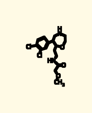 COCC(=O)NCCC1OCCNCC1c1ccc(Cl)c(Cl)c1